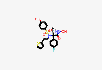 CC(C(=O)NO)(c1ccc(F)cc1)N(CCc1cccs1)S(=O)(=O)c1ccc(O)cc1